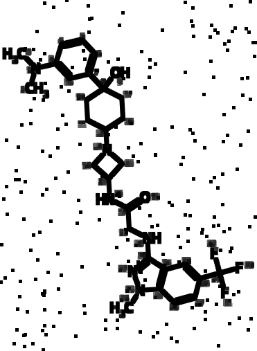 CN(C)c1cccc(C2(O)CCC(N3CC(NC(=O)CNc4nn(C)c5ccc(C(F)(F)F)cc45)C3)CC2)c1